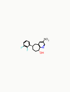 O=[N+]([O-])c1cnc2c(c1)C[C@H](c1cccc(F)c1F)CC[C@H]2O